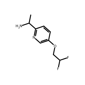 CC(N)c1ccc(OCC(F)F)cn1